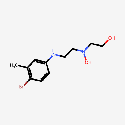 Cc1cc(NCCN(O)CCO)ccc1Br